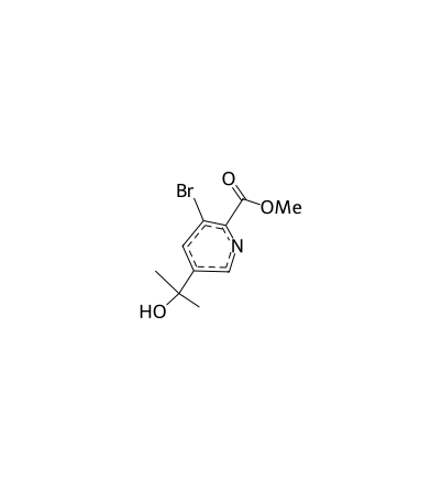 COC(=O)c1ncc(C(C)(C)O)cc1Br